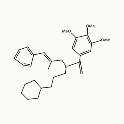 COc1cc(C(=O)N(CCCN2CCCCC2)C/C(C)=C/c2ccccc2)cc(OC)c1OC